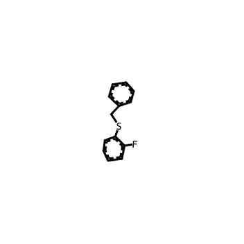 Fc1ccccc1SCc1ccccc1